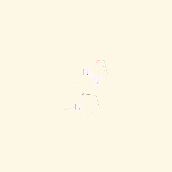 CN1CCCC1=O.c1conn1